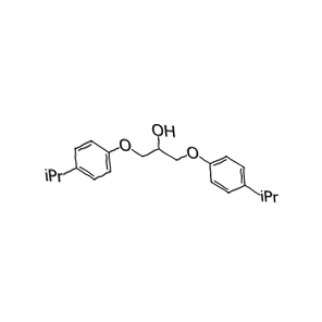 CC(C)c1ccc(OCC(O)COc2ccc(C(C)C)cc2)cc1